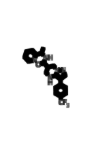 CC(NC(=O)C1CNc2c(-c3ccc(C(F)(F)F)cc3)cnn2C1)c1ccccn1